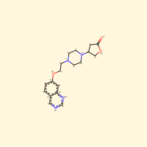 O=C1CC(N2CCN(CCOc3ccc4cncnc4c3)CC2)CO1